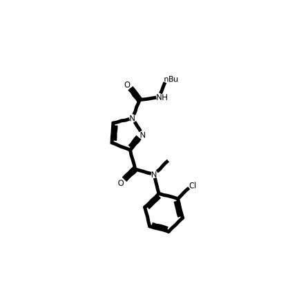 CCCCNC(=O)n1ccc(C(=O)N(C)c2ccccc2Cl)n1